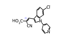 N#C/C(=C\c1cn(-c2ccncc2)c2cc(Cl)ccc12)C(=O)O